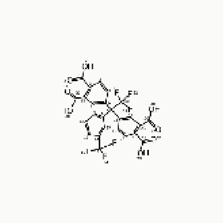 O=C(O)c1ccc(C(c2cccc(C(F)(F)F)c2)(c2ccc(C(=O)O)c(C(=O)O)c2)C(F)(F)F)cc1C(=O)O